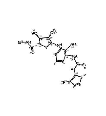 CCNC(=O)[C@H]1C[C@@H](Nc2nccc(NC(CC)Cc3sccc3Cl)c2N)[C@H](O)[C@@H]1O